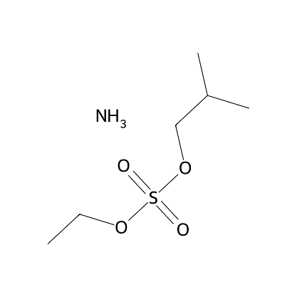 CCOS(=O)(=O)OCC(C)C.N